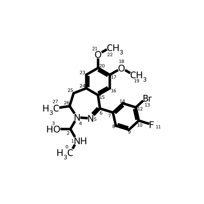 CNC(O)N1N=C(c2ccc(F)c(Br)c2)c2cc(OC)c(OC)cc2CC1C